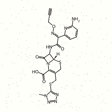 C#CCON=C(C(=O)NC1C(=O)N2C(C(=O)O)=C(CSc3nnnn3C)CS[C@@H]12)c1cccc(N)n1